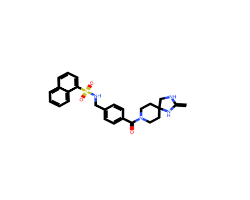 C=C1NCC2(CCN(C(=O)c3ccc(CNS(=O)(=O)c4cccc5ccccc45)cc3)CC2)N1